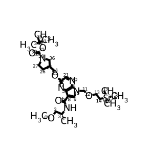 COC[C@@H](C)NC(=O)c1cn(COCC[Si](C)(C)C)c2ncc(OCC3CCN(C(=O)OC(C)(C)C)C3)nc12